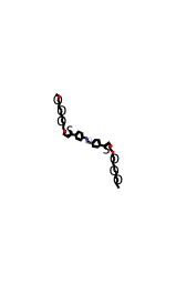 CCOCCOCCOCCc1ccc(-c2ccc(/C=C/c3ccc(-c4ccc(CCOCCOCCOCC)s4)cc3)cc2)s1